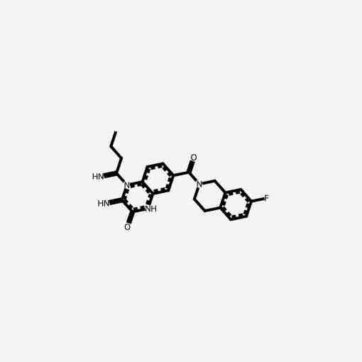 CCCC(=N)n1c(=N)c(=O)[nH]c2cc(C(=O)N3CCc4ccc(F)cc4C3)ccc21